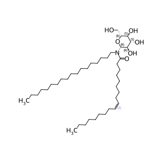 CCCCCCCC/C=C\CCCCCCCC(=O)N(CCCCCCCCCCCCCCCCCC)[C@@H]1O[C@H](CO)[C@@H](O)[C@H](O)[C@H]1O